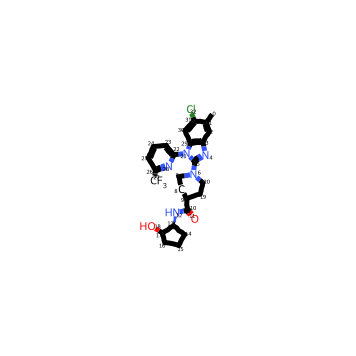 Cc1cc2nc(N3CCC(C(=O)N[C@H]4CCCC4O)CC3)n(-c3cccc(C(F)(F)F)n3)c2cc1Cl